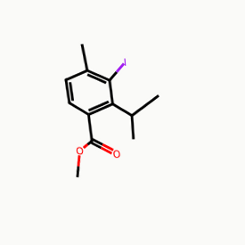 COC(=O)c1ccc(C)c(I)c1C(C)C